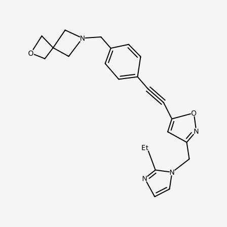 CCc1nccn1Cc1cc(C#Cc2ccc(CN3CC4(COC4)C3)cc2)on1